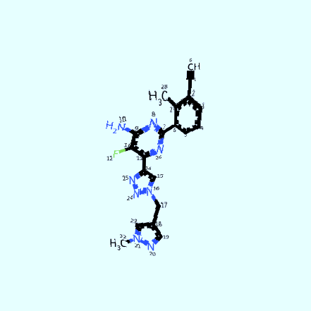 C#Cc1cccc(-c2nc(N)c(F)c(-c3cn(Cc4cnn(C)c4)nn3)n2)c1C